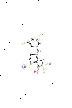 NSc1ccc(Oc2cc(F)cc(F)c2)c2c1C(O)C(F)(F)C2